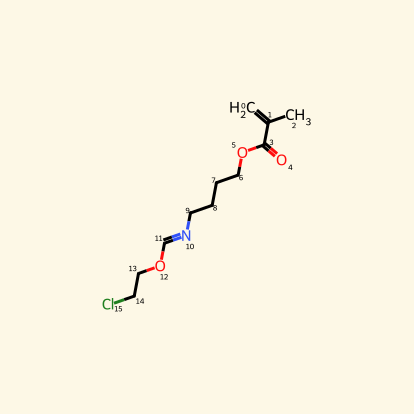 C=C(C)C(=O)OCCCC/N=C/OCCCl